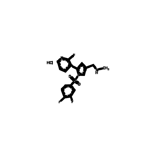 CNCc1cc(-c2cccnc2F)n(S(=O)(=O)c2ccc(F)c(F)c2)c1.Cl